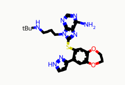 CC(C)(C)NCCCn1c(Sc2cc3c(cc2-c2cc[nH]n2)OCCO3)nc2c(N)ncnc21